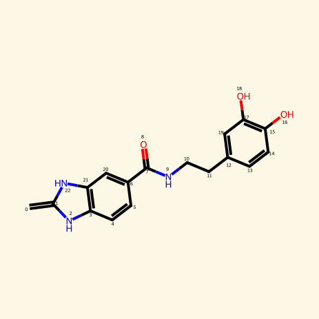 C=C1Nc2ccc(C(=O)NCCc3ccc(O)c(O)c3)cc2N1